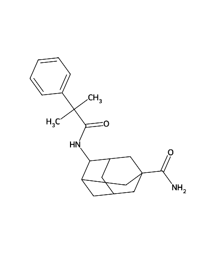 CC(C)(C(=O)NC1C2CC3CC1CC(C(N)=O)(C3)C2)c1ccccc1